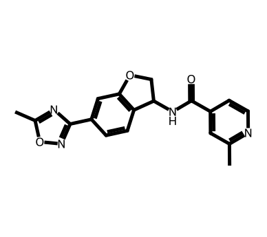 Cc1cc(C(=O)NC2COc3cc(-c4noc(C)n4)ccc32)ccn1